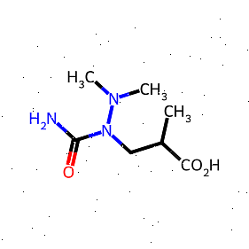 CC(CN(C(N)=O)N(C)C)C(=O)O